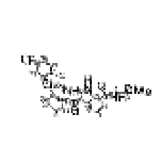 COCCNC(=O)c1cccc2c(C(=O)[C@@H](NCCc3ccc(Cl)cc3Cl)c3ccccc3)c[nH]c12